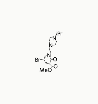 COC(=O)c1cc(Br)cn(CCN2CCN(C(C)C)CC2)c1=O